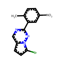 Cc1ccc([N+](=O)[O-])cc1-c1ncc2ccc(Br)n2n1